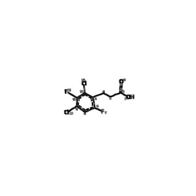 O=C(O)CCc1c(F)cc(Cl)c(F)c1Cl